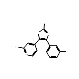 CC(=O)Nc1cc(-c2sc(C)nc2-c2cccc(Cl)c2)ccn1